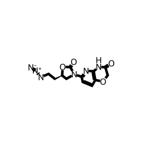 [N-]=[N+]=NCC[C@@H]1CN(c2ccc3c(n2)NC(=O)CO3)C(=O)O1